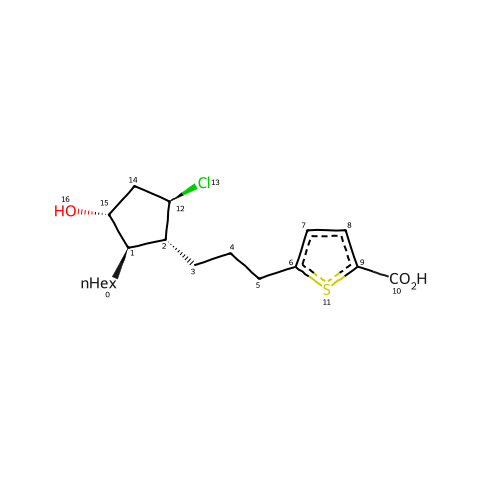 CCCCCC[C@@H]1[C@@H](CCCc2ccc(C(=O)O)s2)[C@H](Cl)C[C@H]1O